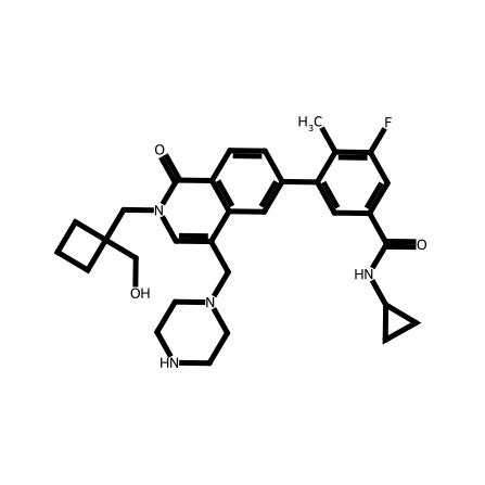 Cc1c(F)cc(C(=O)NC2CC2)cc1-c1ccc2c(=O)n(CC3(CO)CCC3)cc(CN3CCNCC3)c2c1